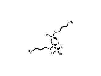 CCCCOP(=O)(O)OP(=O)(OCCCC)P(=O)(O)O